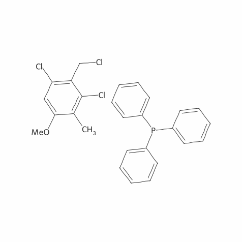 COc1cc(Cl)c(CCl)c(Cl)c1C.c1ccc(P(c2ccccc2)c2ccccc2)cc1